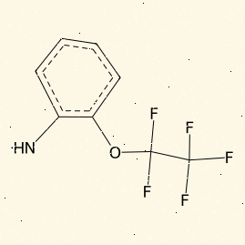 [NH]c1ccccc1OC(F)(F)C(F)(F)F